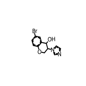 OC1c2cc(Br)ccc2OCC1n1ccnc1